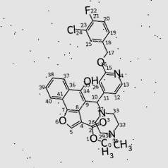 COC(=O)c1coc2c1c(C(c1ccnc(OCc3ccc(F)c(Cl)c3)c1)N1CCN(C)CC1)c(O)c1ccccc12